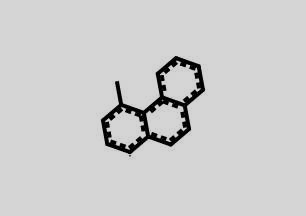 Cc1cc[c]c2ccc3ccccc3c12